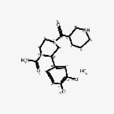 Cl.NC(=O)N1CCN(C(=O)C2CCCNC2)CC1c1ccc(Cl)c(Cl)c1